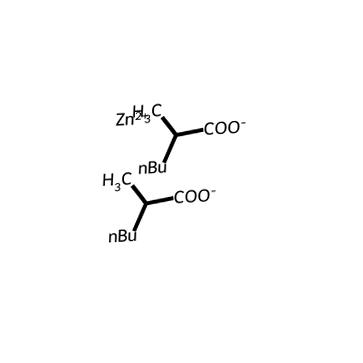 CCCCC(C)C(=O)[O-].CCCCC(C)C(=O)[O-].[Zn+2]